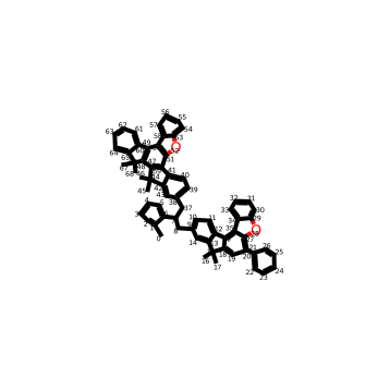 Cc1ccccc1C(Cc1ccc2c(c1)C(C)(C)c1cc(-c3ccccc3)c3oc4ccccc4c3c1-2)Cc1ccc2c(c1)C(C)(C)c1c3c(c4c(oc5ccccc54)c1-2)-c1ccccc1C3(C)C